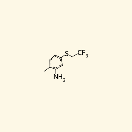 Cc1ccc(SCC(F)(F)F)cc1N